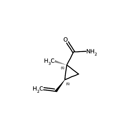 C=C[C@@H]1C[C@]1(C)C(N)=O